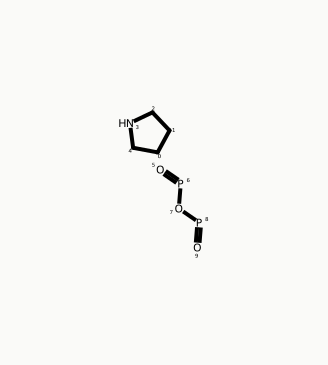 C1CCNC1.O=POP=O